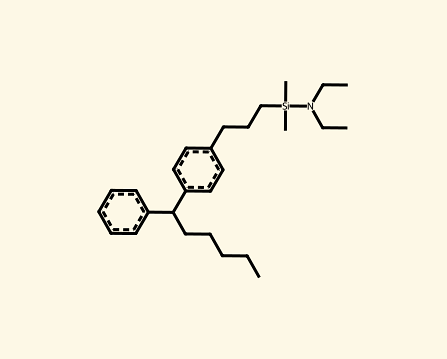 CCCCCC(c1ccccc1)c1ccc(CCC[Si](C)(C)N(CC)CC)cc1